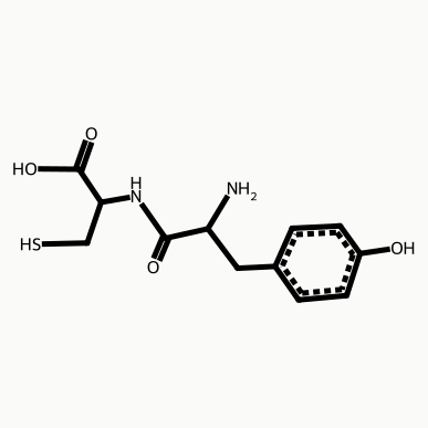 NC(Cc1ccc(O)cc1)C(=O)NC(CS)C(=O)O